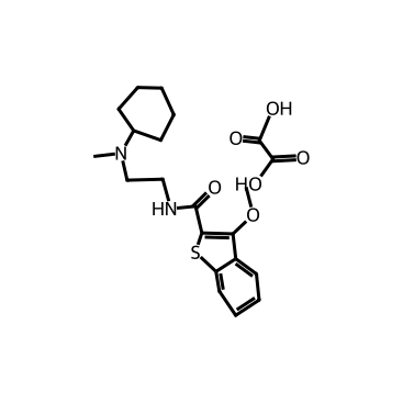 COc1c(C(=O)NCCN(C)C2CCCCC2)sc2ccccc12.O=C(O)C(=O)O